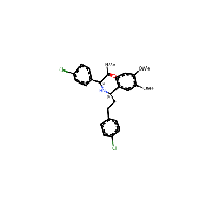 CNC(=O)[C@@H](N[C@H](CCc1ccc(Cl)cc1)c1ccc(OC)c(OC)c1)c1ccc(Cl)cc1